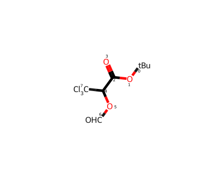 CC(C)(C)OC(=O)C(OC=O)C(Cl)(Cl)Cl